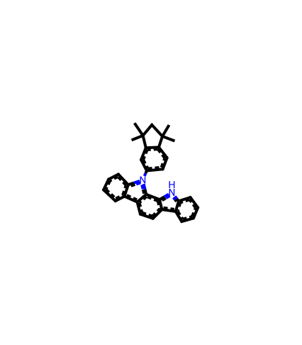 CC1(C)CC(C)(C)c2cc(-n3c4ccccc4c4ccc5c6ccccc6[nH]c5c43)ccc21